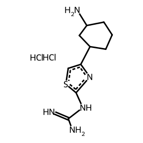 Cl.Cl.N=C(N)Nc1nc(C2CCCC(N)C2)cs1